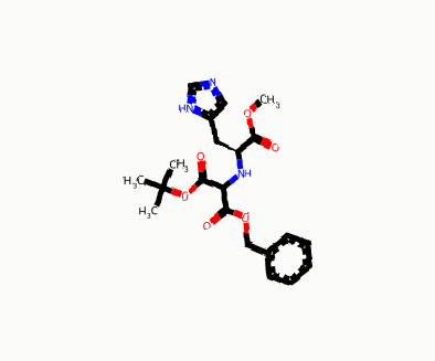 COC(=O)[C@H](Cc1cnc[nH]1)NC(C(=O)OCc1ccccc1)C(=O)OC(C)(C)C